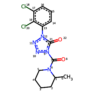 CC1CCCCN1C(=O)n1nnn(-c2cccc(Cl)c2Cl)c1=O